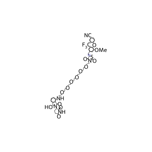 COc1cc(/C=C2\SC(=O)N(CCOCCOCCOCCOCCOCCOCCNc3cccc4c3C(=O)N(C3CCC(=O)NC3=O)C4O)C2=O)ccc1Oc1ccc(C#N)cc1C(F)(F)F